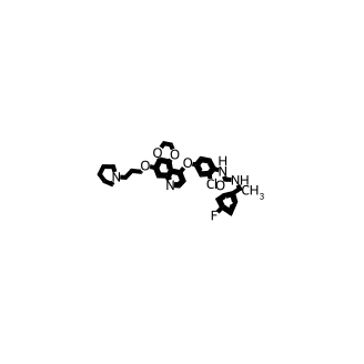 C[C@H](NC(=O)Nc1ccc(Oc2ccnc3cc(OCCCN4CCCCC4)c4c(c23)OCCO4)cc1Cl)c1ccc(F)cc1